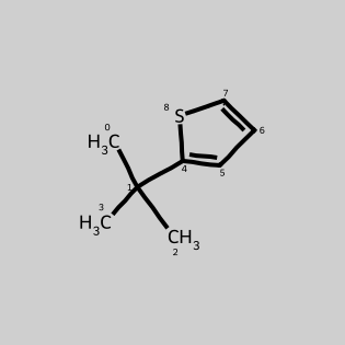 CC(C)(C)c1cc[c]s1